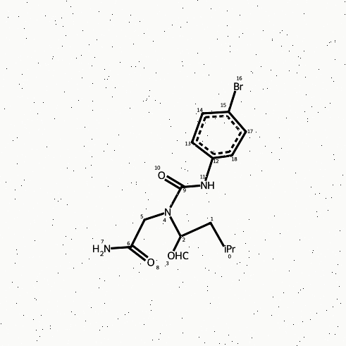 CC(C)CC(C=O)N(CC(N)=O)C(=O)Nc1ccc(Br)cc1